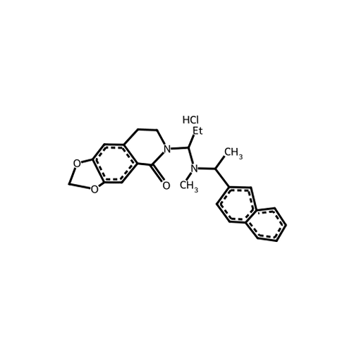 CCC(N1CCc2cc3c(cc2C1=O)OCO3)N(C)C(C)c1ccc2ccccc2c1.Cl